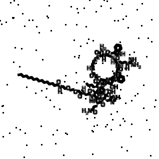 CCCCCCCCCCCCCCCC(=O)NCCOCCOCC(=O)NCC(=O)N[C@H](C(=O)N[C@@H](CCC(N)=O)C(=O)N[C@@H](Cc1c[nH]cn1)C(=O)N[C@@H](CO)C(=O)N[C@@H](CCCC)C(=O)N[C@H]1CCC(=O)CNCCCC[C@@H](C(N)=O)NC(=O)[C@H](Cc2c[nH]c3ccccc23)NC(=O)[C@H](CCCNC(=N)N)NC(=O)[C@@H](Cc2ccccc2)NC(=O)[C@@H]2C[C@@H](O)CN2C1=O)[C@@H](C)O